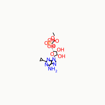 CCOC(=O)[C@H](OC[C@H]1O[C@@H](n2cnc3c(N)nc(C4CC4)nc32)[C@H](O)[C@@H]1O)P(=O)(O)O